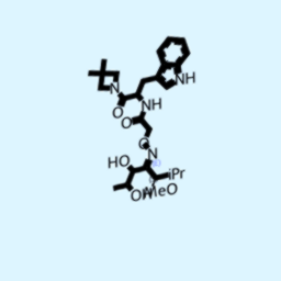 CO[C@H](/C(=N/OCC(=O)NC(Cc1c[nH]c2ccccc12)C(=O)N1CC(C)(C)C1)C(O)C(C)O)C(C)C